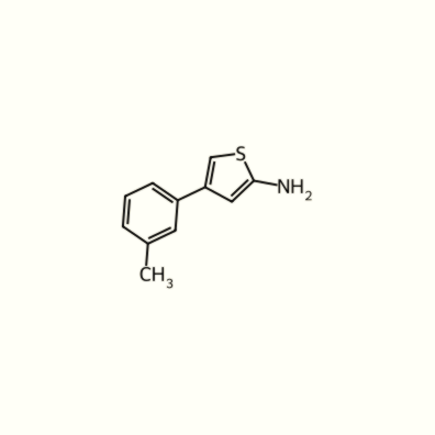 Cc1cccc(-c2csc(N)c2)c1